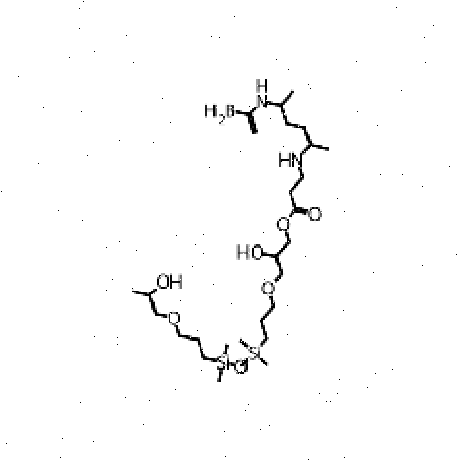 BC(=C)NC(C)CCC(C)NCCC(=O)OCC(O)COCCC[Si](C)(C)O[Si](C)(C)CCCOCC(C)O